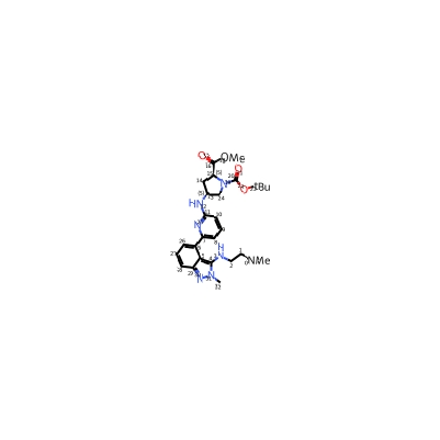 CNCCNc1c2c(-c3cccc(N[C@H]4C[C@@H](C(=O)OC)N(C(=O)OC(C)(C)C)C4)n3)cccc2nn1C